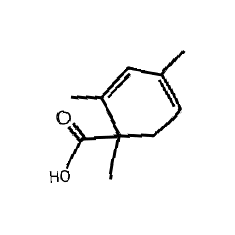 CC1=CCC(C)(C(=O)O)C(C)=C1